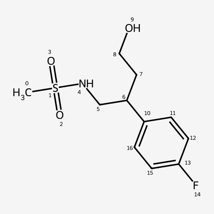 CS(=O)(=O)NCC(CCO)c1ccc(F)cc1